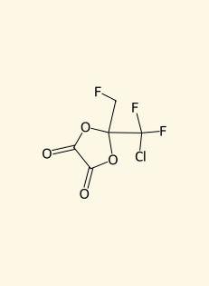 O=C1OC(CF)(C(F)(F)Cl)OC1=O